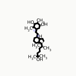 C=C1/C(=C/C=C2\CCC[C@]3(C)[C@@H]([C@H](C)CCCC(C)(C)O)CC[C@@H]23)C[C@@H](O)[C@H](C)[C@@H]1O